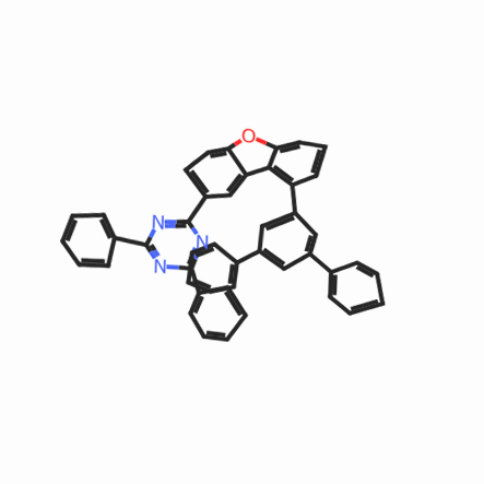 c1ccc(-c2cc(-c3ccccc3)cc(-c3cccc4oc5ccc(-c6nc(-c7ccccc7)nc(-c7ccccc7)n6)cc5c34)c2)cc1